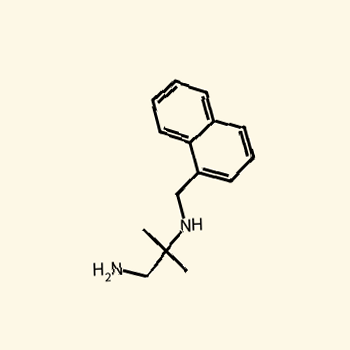 CC(C)(CN)NCc1cccc2ccccc12